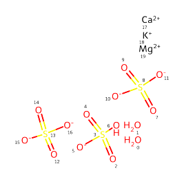 O.O.O=S(=O)([O-])O.O=S(=O)([O-])[O-].O=S(=O)([O-])[O-].[Ca+2].[K+].[Mg+2]